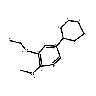 CCOc1cc(C2CCCCC2)ccc1OC